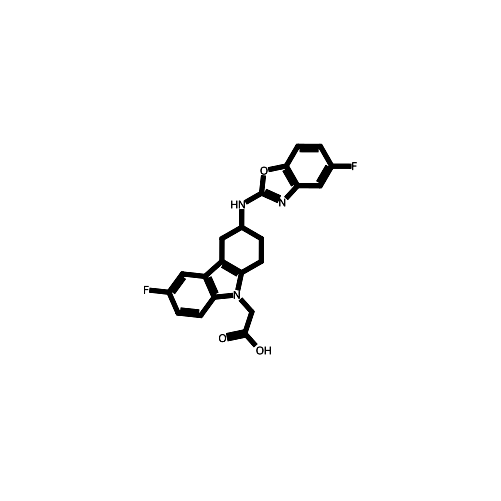 O=C(O)Cn1c2c(c3cc(F)ccc31)CC(Nc1nc3cc(F)ccc3o1)CC2